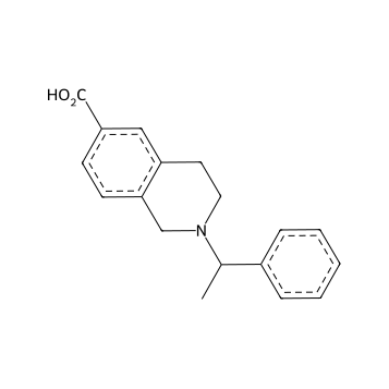 CC(c1ccccc1)N1CCc2cc(C(=O)O)ccc2C1